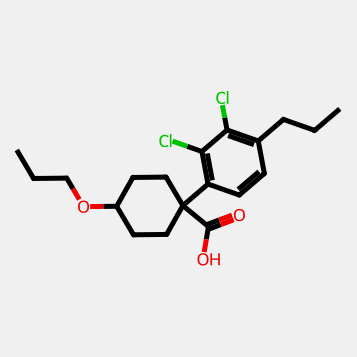 CCCOC1CCC(C(=O)O)(c2ccc(CCC)c(Cl)c2Cl)CC1